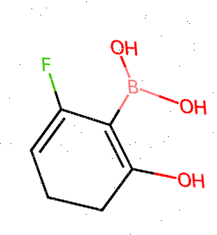 OB(O)C1=C(O)CCC=C1F